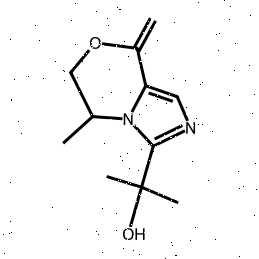 C=C1OCC(C)n2c1cnc2C(C)(C)O